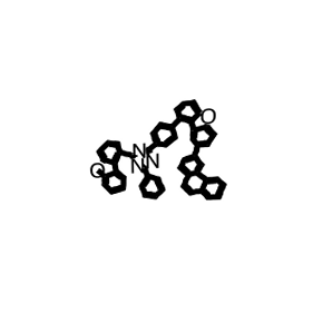 c1ccc(-c2nc(-c3ccc(-c4cccc5oc6ccc(-c7ccc8ccc9ccccc9c8c7)cc6c45)cc3)nc(-c3cccc4oc5ccccc5c34)n2)cc1